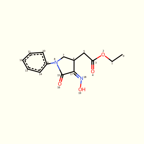 CCOC(=O)CC1CN(c2ccccc2)C(=O)C1=NO